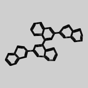 c1ccc2cc(-c3cc(-c4cc(-c5ccc6ccccc6c5)cc5ccccc45)c4ccccc4c3)ccc2c1